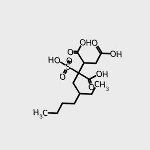 CCCCC(CC)CC(C(=O)O)(C(CC(=O)O)C(=O)O)S(=O)(=O)O